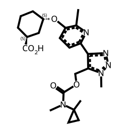 Cc1nc(-c2nnn(C)c2COC(=O)N(C)C2(C)CC2)ccc1O[C@H]1CCC[C@H](C(=O)O)C1